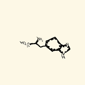 NC(Cc1ccc2nc[nH]c2c1)C(=O)O